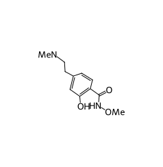 CNCCc1ccc(C(=O)NOC)c(O)c1